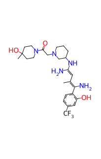 CC(/C=C(\N)NC1CCCN(CC(=O)N2CCC(C)(O)CC2)C1)=C(/N)c1ccc(C(F)(F)F)cc1O